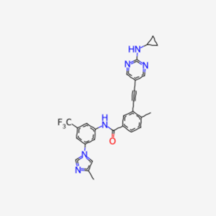 Cc1cn(-c2cc(NC(=O)c3ccc(C)c(C#Cc4cnc(NC5CC5)nc4)c3)cc(C(F)(F)F)c2)cn1